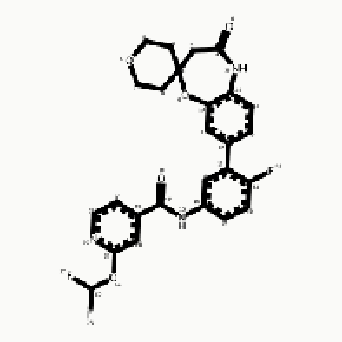 O=C1CC2(CCOCC2)Oc2cc(-c3cc(NC(=O)c4ccnc(OC(F)F)c4)ccc3F)ccc2N1